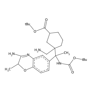 CC1Oc2ccc(C(C)(NC(=O)OC(C)(C)C)C3(CN)CCCC(C(=O)OC(C)(C)C)C3)cc2N=C1N